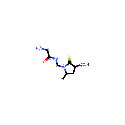 CC1CC(C(=O)O)C(=S)N1CNC(=O)CN